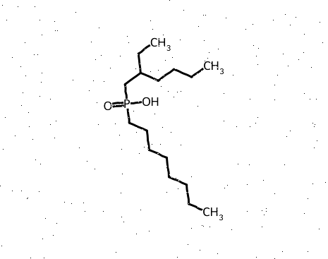 CCCCCCCCP(=O)(O)CC(CC)CCCC